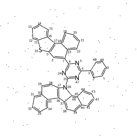 c1ccc(-c2nc(-c3cc4sc5ccccc5c4c4ccccc34)nc(-n3c4ccc5ccccc5c4c4ccc5ccccc5c43)n2)cc1